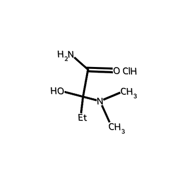 CCC(O)(C(N)=O)N(C)C.Cl